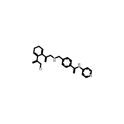 C=C(CCl)C1=CCCC=C1C(=C)CNCc1ccc(C(=C)Nc2ccncc2)cc1